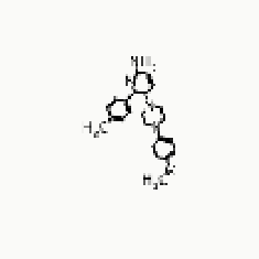 COc1ccc(N2CCN(c3ccc(N)nc3-c3ccc(C)cc3)CC2)cc1